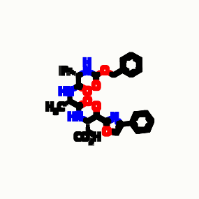 CC(C)[C@H](NC(=O)OCc1ccccc1)C(=O)N[C@@H](C)C(=O)N[C@@H](CC(=O)O)C(=O)c1nc(-c2ccccc2)co1